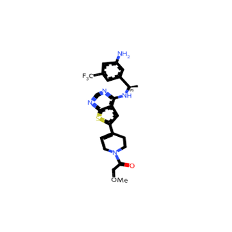 COCC(=O)N1CC=C(c2cc3c(N[C@H](C)c4cc(N)cc(C(F)(F)F)c4)ncnc3s2)CC1